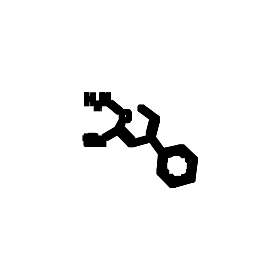 C/C=C(\C=C(/ON)C(C)(C)C)c1ccccc1